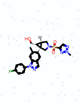 Cc1cc2c(cnn2-c2ccc(F)cc2)cc1[C@@]12CN(S(=O)(=O)c3cnn(C)n3)C[C@@H]1[C@H]2CO